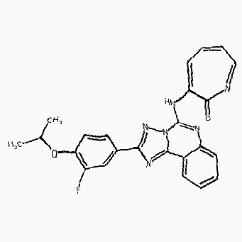 CC(C)Oc1ccc(-c2nc3c4ccccc4nc(Nc4ccccnc4=O)n3n2)cc1F